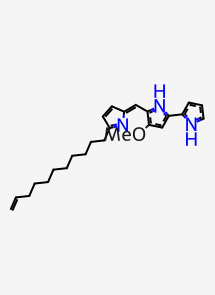 C=CCCCCCCCCCC1=NC(=Cc2[nH]c(-c3ccc[nH]3)cc2OC)C=C1